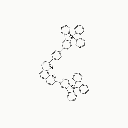 c1ccc([Si]2(c3ccccc3)c3ccccc3-c3cc(-c4ccc(-c5ccc6ccc7ccc(-c8ccc9c(c8)-c8ccccc8[Si]9(c8ccccc8)c8ccccc8)nc7c6n5)cc4)ccc32)cc1